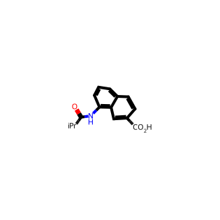 CC(C)C(=O)Nc1cccc2ccc(C(=O)O)cc12